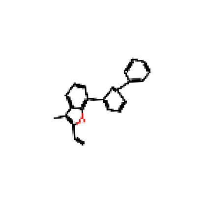 C=Cc1oc2c(-c3cccc(-c4ccccc4)c3)cccc2c1C